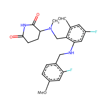 COc1ccc(CNc2cc(F)cc(C=O)c2CN(C)C2CCC(=O)NC2=O)c(F)c1